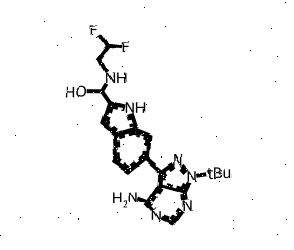 CC(C)(C)n1nc(-c2ccc3cc(C(O)NCC(F)F)[nH]c3c2)c2c(N)ncnc21